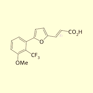 COc1cccc(-c2ccc(/C=C/C(=O)O)o2)c1C(F)(F)F